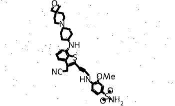 COc1cc(S(N)(=O)=O)ccc1NCC#Cc1sc2c(NC3CCC(N4CCC5(CC4)COC5)CC3)cccc2c1CC#N